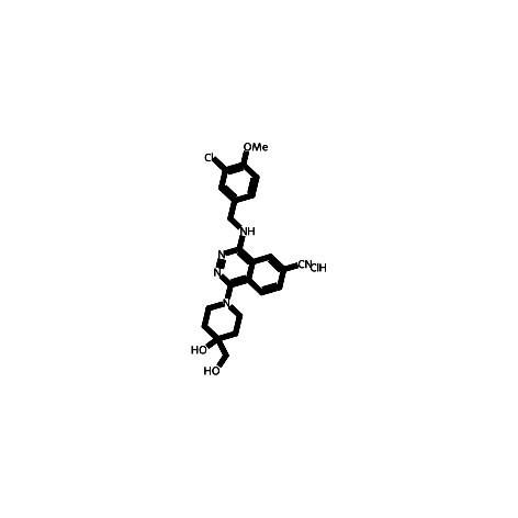 COc1ccc(CNc2nnc(N3CCC(O)(CO)CC3)c3ccc(C#N)cc23)cc1Cl.Cl